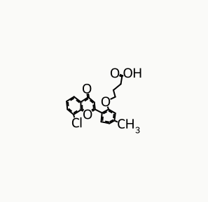 Cc1ccc(-c2cc(=O)c3cccc(Cl)c3o2)c(OCCCC(=O)O)c1